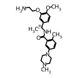 COc1ccc([C@@H](C)NC(=O)c2cc(N3CCN(C)CC3)ccc2C)cc1OCCN